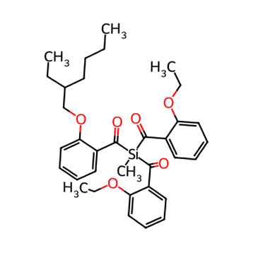 CCCCC(CC)COc1ccccc1C(=O)[Si](C)(C(=O)c1ccccc1OCC)C(=O)c1ccccc1OCC